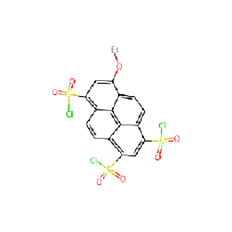 CCOc1cc(S(=O)(=O)Cl)c2ccc3c(S(=O)(=O)Cl)cc(S(=O)(=O)Cl)c4ccc1c2c43